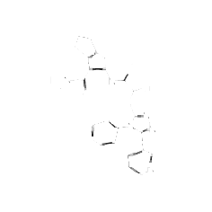 CC(Sc1nnc(-c2cccnc2)n1-c1ccccc1)C(=O)Nc1sc2c(c1C(N)=O)CCC2